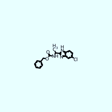 CC(NC(=O)OCc1ccccc1)c1nc2cc(Cl)ccc2[nH]1